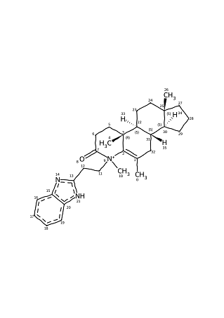 CC1=C2[C@](C)(CCC(=O)[N+]2(C)CCc2nc3ccccc3[nH]2)[C@H]2CC[C@]3(C)CCC[C@H]3[C@@H]2C1